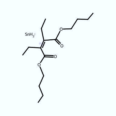 CCCCOC(=O)/C(CC)=C(/CC)C(=O)OCCCC.[SnH2]